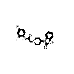 O=C(CN1CCC(n2c(=O)[nH]c3ccccc32)CC1)Nc1ccc(F)cc1F